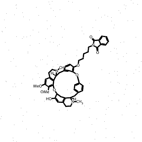 COc1cc2c3c(c1OC)OC1CC4=C(C=C1O)CCN(C)[C@H]4Cc1ccc(cc1)Oc1cc(ccc1OCCCCCN1C(=O)c4ccccc4C1=O)C[C@H]3N(C)CC2